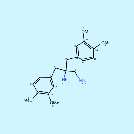 COc1ccc(CC(N)(CN)Cc2ccc(OC)c(OC)c2)cc1OC